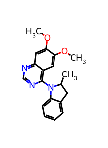 COc1cc2ncnc(N3c4ccccc4CC3C)c2cc1OC